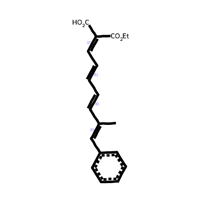 CCOC(=O)\C(=C/C=C/C=C/C(C)=C/c1ccccc1)C(=O)O